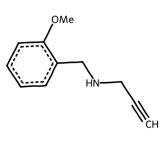 C#CCNCc1ccccc1OC